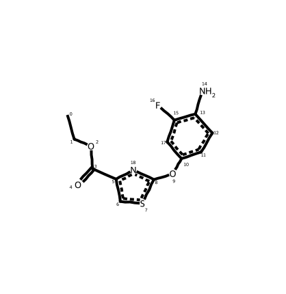 CCOC(=O)c1csc(Oc2ccc(N)c(F)c2)n1